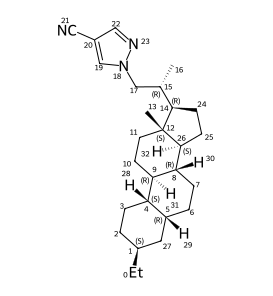 CC[C@H]1CC[C@H]2[C@H](CC[C@@H]3[C@@H]2CC[C@]2(C)[C@@H]([C@@H](C)Cn4cc(C#N)cn4)CC[C@@H]32)C1